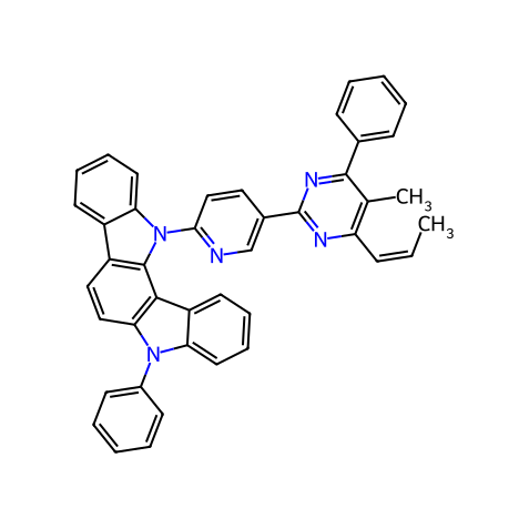 C/C=C\c1nc(-c2ccc(-n3c4ccccc4c4ccc5c(c6ccccc6n5-c5ccccc5)c43)nc2)nc(-c2ccccc2)c1C